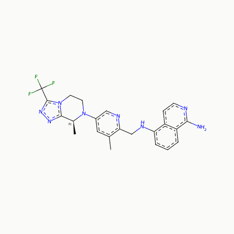 Cc1cc(N2CCn3c(nnc3C(F)(F)F)[C@@H]2C)cnc1CNc1cccc2c(N)nccc12